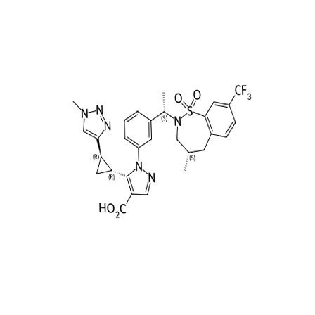 C[C@H]1Cc2ccc(C(F)(F)F)cc2S(=O)(=O)N([C@@H](C)c2cccc(-n3ncc(C(=O)O)c3[C@@H]3C[C@H]3c3cn(C)nn3)c2)C1